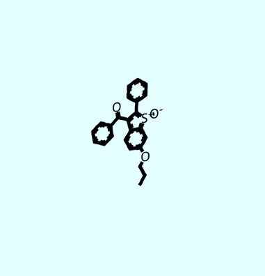 CCCOc1ccc2c(C(=O)c3ccccc3)c(-c3ccccc3)[s+]([O-])c2c1